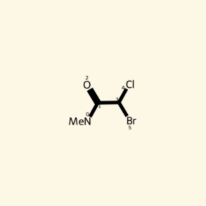 CNC(=O)C(Cl)Br